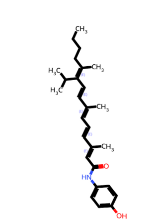 CCCC/C(C)=C(/C=C/C(C)=C/C=C/C(C)=C/C(=O)Nc1ccc(O)cc1)C(C)C